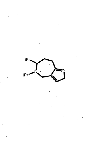 CC(C)C1CCC2=NCC=C2CN1C(C)C